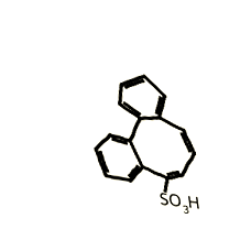 O=S(=O)(O)C1=C/C=C\c2ccccc2-c2ccccc21